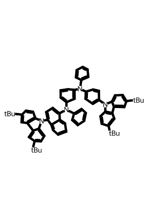 CC(C)(C)c1ccc2c(c1)c1cc(C(C)(C)C)ccc1n2-c1ccc(N(c2ccccc2)c2cccc(N(c3ccccc3)c3ccc(-n4c5ccc(C(C)(C)C)cc5c5cc(C(C)(C)C)ccc54)c4ccccc34)c2)cc1